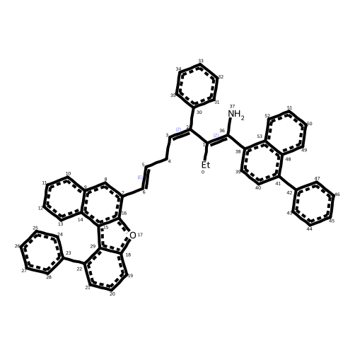 CCC(/C(=C\C/C=C/c1cc2ccccc2c2c1oc1cccc(-c3ccccc3)c12)c1ccccc1)=C(/N)c1ccc(-c2ccccc2)c2ccccc12